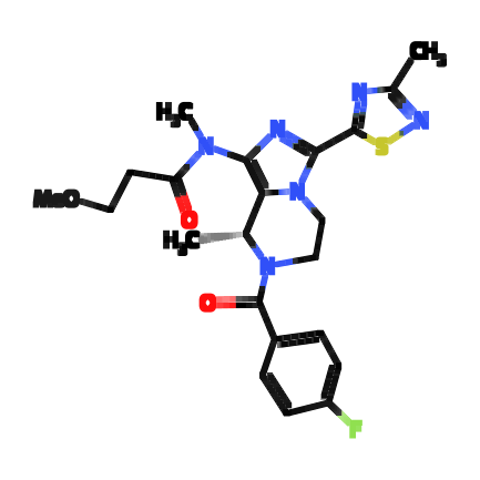 COCCC(=O)N(C)c1nc(-c2nc(C)ns2)n2c1[C@@H](C)N(C(=O)c1ccc(F)cc1)CC2